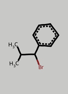 CC(C)C(Br)c1ccccc1